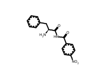 N[C@@H](Cc1ccccc1)C(=O)NC(=O)c1ccc([N+](=O)[O-])cc1